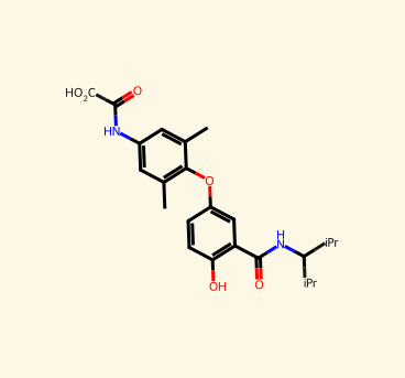 Cc1cc(NC(=O)C(=O)O)cc(C)c1Oc1ccc(O)c(C(=O)NC(C(C)C)C(C)C)c1